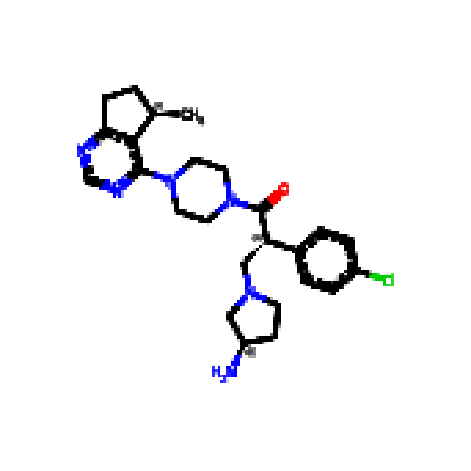 C[C@@H]1CCc2ncnc(N3CCN(C(=O)[C@@H](CN4CC[C@@H](N)C4)c4ccc(Cl)cc4)CC3)c21